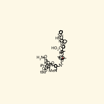 CNCc1cc(NC(=O)[C@H](CCCNC(N)=O)NC(=O)[C@@H](NC(=O)OC(C)(C)C)C(C)C)ccc1C[N+](C)(C)CCOC12CC3(Cn4ncc(-c5ccc(N6CCCc7c6nnc(Nc6nc8ccccc8s6)c7C)nc5C(=O)O)c4C)C[C@@](C)(C1)C[C@](C)(C3)C2